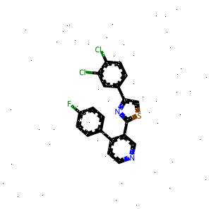 Fc1ccc(-c2ccncc2-c2nc(-c3ccc(Cl)c(Cl)c3)cs2)cc1